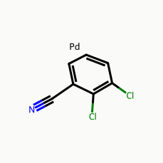 N#Cc1cccc(Cl)c1Cl.[Pd]